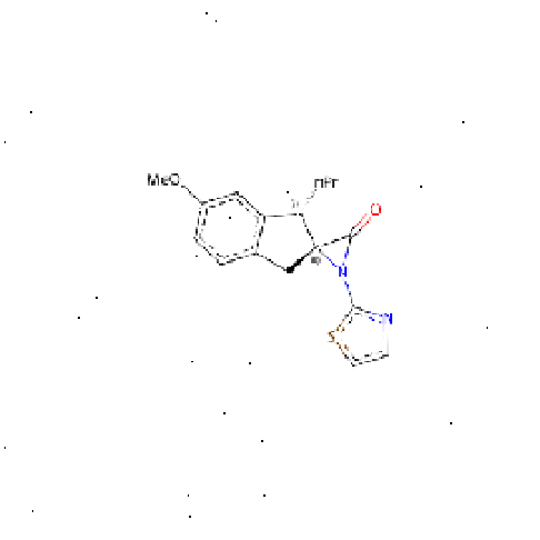 CCC[C@H]1c2cc(OC)ccc2C[C@]12C(=O)N2c1nccs1